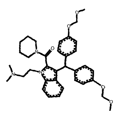 COCOc1ccc(C(c2ccc(OCOC)cc2)c2c(C(=O)N3CCCCC3)n(CCN(C)C)c3ccccc23)cc1